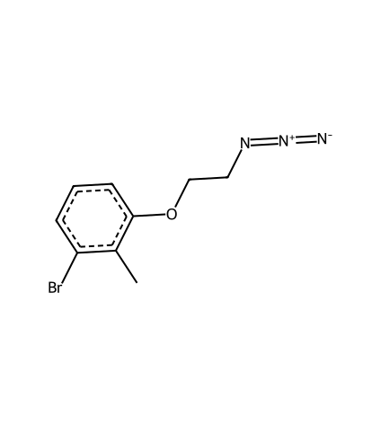 Cc1c(Br)cccc1OCCN=[N+]=[N-]